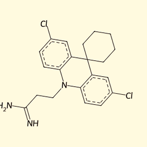 N=C(N)CCN1c2ccc(Cl)cc2C2(CCCCC2)c2cc(Cl)ccc21